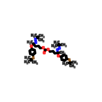 CC(C)(C)/N=N/C(C)(CCCOC(=O)OCCCC(C)(/N=N/C(C)(C)C)Oc1ccc(SC(C)(C)C)cc1)Oc1ccc(SC(C)(C)C)cc1